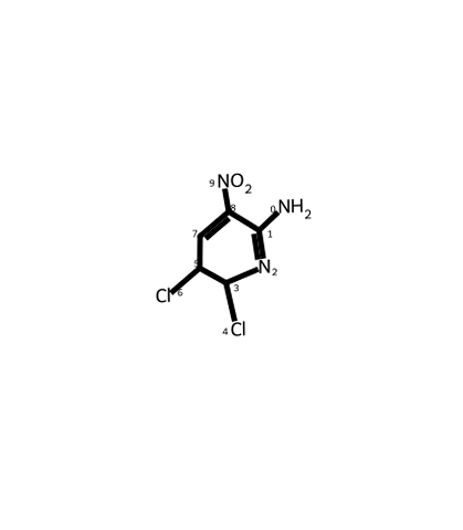 NC1=NC(Cl)C(Cl)C=C1[N+](=O)[O-]